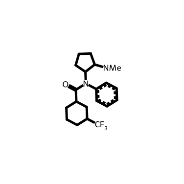 CNC1CCCC1N(C(=O)C1CCCC(C(F)(F)F)C1)c1ccccc1